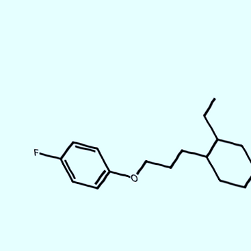 CCC1CCCCC1CCCOc1ccc(F)cc1